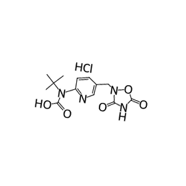 CC(C)(C)N(C(=O)O)c1ccc(Cn2oc(=O)[nH]c2=O)cn1.Cl